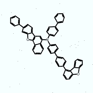 c1ccc(-c2ccc(N(c3ccc(-c4ccc(-c5cccc6oc7ccccc7c56)cc4)cc3)c3cc4c5ccc(-c6ccccc6)cc5oc4c4ccccc34)cc2)cc1